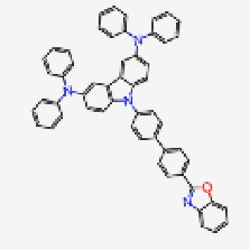 c1ccc(N(c2ccccc2)c2ccc3c(c2)c2cc(N(c4ccccc4)c4ccccc4)ccc2n3-c2ccc(-c3ccc(-c4nc5ccccc5o4)cc3)cc2)cc1